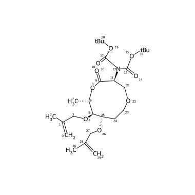 C=C(C)CO[C@H]1[C@H](C)OC(=O)[C@@H](N(C(=O)OC(C)(C)C)C(=O)OC(C)(C)C)COCC[C@@H]1OCC(=C)C